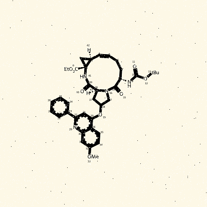 CCOC(=O)[C@@]12C[C@H]1C=CCC[C@H](NC(=O)OC(C)(C)C)C(=O)N1CC(Oc3cc(-c4ccccc4)nc4cc(OC)ccc34)C[C@H]1C(=O)N2